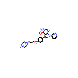 CN1CCN(CCCOc2ccc(-c3cn(-c4cccnc4)c4nc[nH]c(=O)c34)cc2)CC1